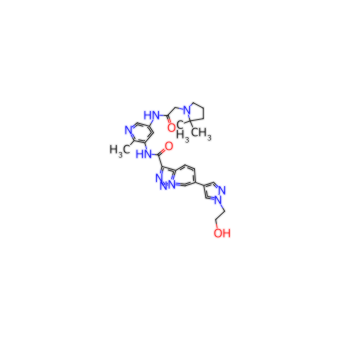 Cc1ncc(NC(=O)CN2CCCC2(C)C)cc1NC(=O)c1nnn2cc(-c3cnn(CCO)c3)ccc12